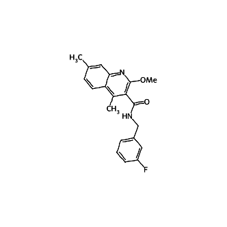 COc1nc2cc(C)ccc2c(C)c1C(=O)NCc1cccc(F)c1